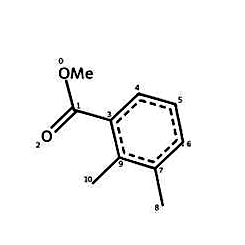 COC(=O)c1cc[c]c(C)c1C